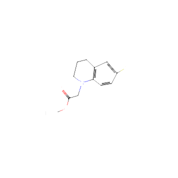 COC(=O)CN1CCCc2cc(S)ccc21